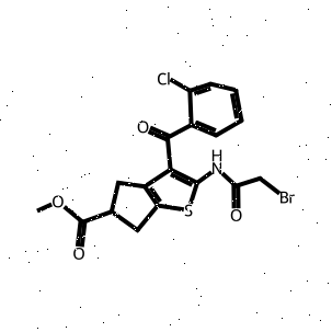 COC(=O)C1Cc2sc(NC(=O)CBr)c(C(=O)c3ccccc3Cl)c2C1